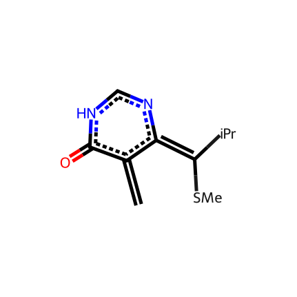 C=c1c(=O)[nH]cn/c1=C(/SC)C(C)C